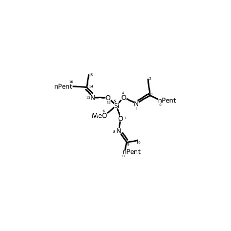 CCCCCC(C)=NO[Si](OC)(ON=C(C)CCCCC)ON=C(C)CCCCC